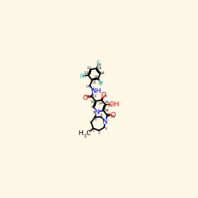 CC1CCN2CC(C1)n1cc(C(=O)NCc3c(F)cc(F)cc3F)c(=O)c(O)c1C2=O